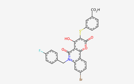 O=C(O)c1cccc(Sc2c(O)c3c(=O)n(Cc4ccc(F)cc4)c4cc(Br)ccc4c3oc2=O)c1